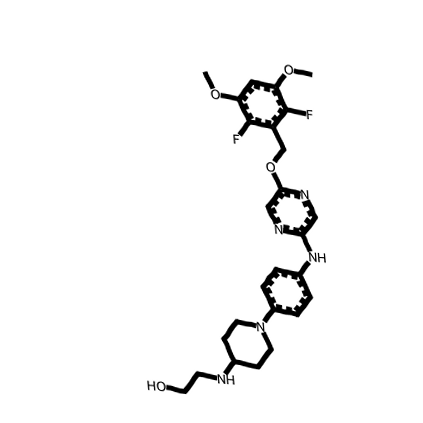 COc1cc(OC)c(F)c(COc2cnc(Nc3ccc(N4CCC(NCCO)CC4)cc3)cn2)c1F